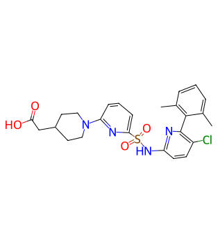 Cc1cccc(C)c1-c1nc(NS(=O)(=O)c2cccc(N3CCC(CC(=O)O)CC3)n2)ccc1Cl